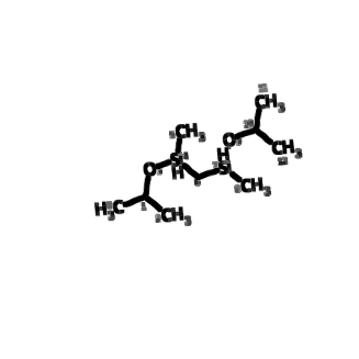 CC(C)O[SiH](C)C[SiH](C)OC(C)C